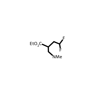 CCOC(=O)C(CNC)CC(F)F